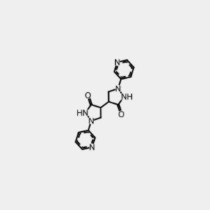 O=C1NN(c2cccnc2)CC1C1CN(c2cccnc2)NC1=O